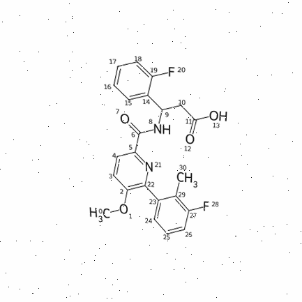 COc1ccc(C(=O)NC(CC(=O)O)c2ccccc2F)nc1-c1cccc(F)c1C